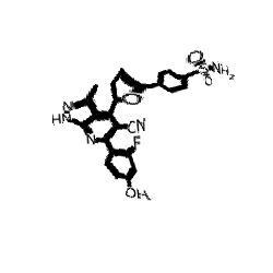 Cc1n[nH]c2nc(-c3ccc(O)cc3F)c(C#N)c(-c3ccc(-c4ccc(S(N)(=O)=O)cc4)o3)c12